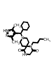 CCCCN1C(=O)CNC(=O)C12CCN(C(c1c(C)n[nH]c1C)C1CCCCC1)CC2